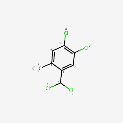 Clc1cc(C(Cl)Cl)c(C(Cl)(Cl)Cl)cc1Cl